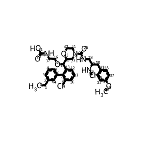 CCc1cccc(-c2c(Cl)cccc2C(OCCNC(=O)O)C2CN(C(=O)NCC(Cc3ccc(OC)cc3)NC)CCO2)c1